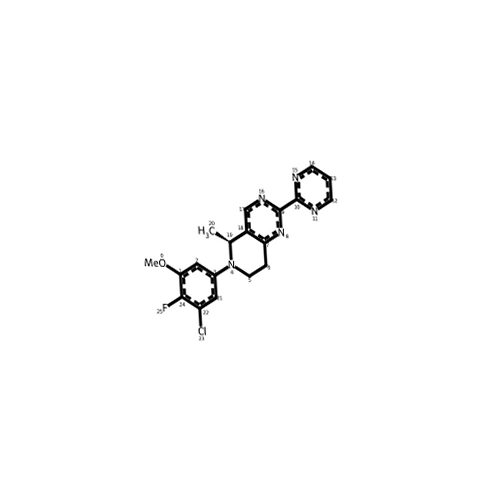 COc1cc(N2CCc3nc(-c4ncccn4)ncc3[C@@H]2C)cc(Cl)c1F